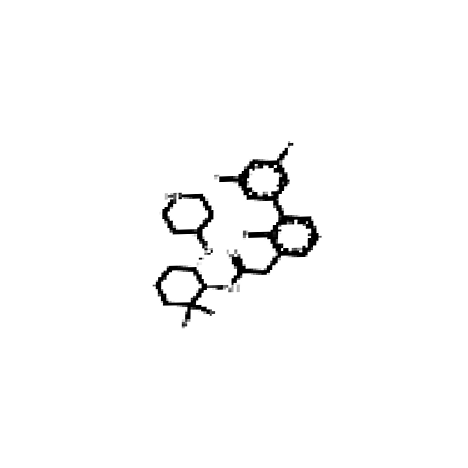 O=C(Cc1cccc(-c2cc(F)cc(F)c2)c1F)N[C@@H]1[C@@H](OC2CCNCC2)CCCC1(F)F